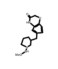 COBN1CCCC(Cc2ccc3c(c2)NC(=O)CO3)C1